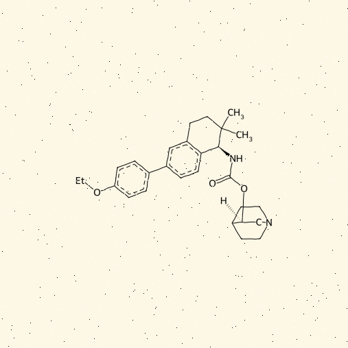 CCOc1ccc(-c2ccc3c(c2)CCC(C)(C)[C@H]3NC(=O)O[C@H]2CN3CCC2CC3)cc1